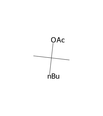 CCCCC(C)(C)OC(C)=O